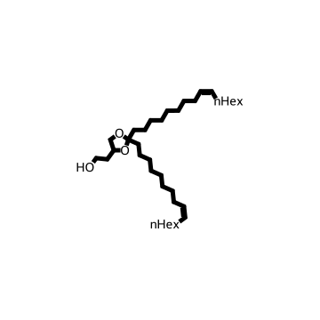 CCCCCC/C=C\CCCCCCCCC1(CCCCCCCC/C=C\CCCCCC)OCC(CCO)O1